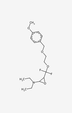 CCN(CC)C1OC1C(F)(F)OCCOCc1ccc(OC)cc1